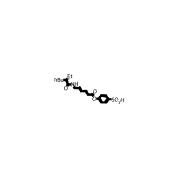 CCCCC(CC)C(=O)NCCCCCC(=O)Oc1ccc(S(=O)(=O)O)cc1